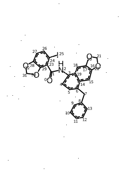 O=C(Nc1ccc(Cc2ccccc2)c2cc3c(cc12)OCO3)c1c(I)ccc2c1OCO2